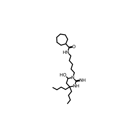 CCCCC1(CCCC)CC(O)N(CCCCCNC(=O)C2CCCCCC2)C(=N)N1